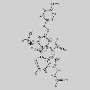 COc1ccc(COc2nc(NC(C)=O)nc3c2sc(=O)n3[C@@H]2O[C@H](COC(C)=O)[C@@H](OC(C)=O)[C@H]2OC(C)=O)cc1